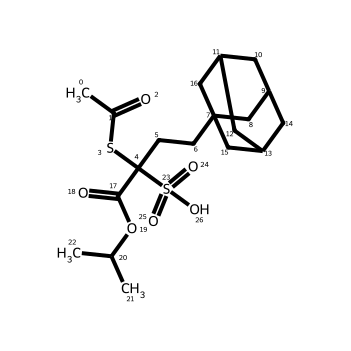 CC(=O)SC(CCC12CC3CC(CC(C3)C1)C2)(C(=O)OC(C)C)S(=O)(=O)O